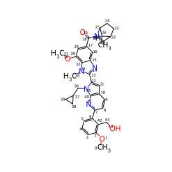 COc1cccc(-c2ccc3cc(-c4nc5cc(C(=O)N6CC7CCC6[C@@H]7C)cc(OC)c5n4C)n(CC4CC4)c3n2)c1CO